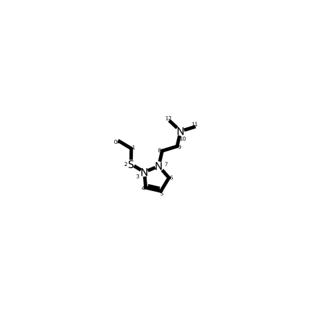 [CH2]CSN1C=CCN1CCN(C)C